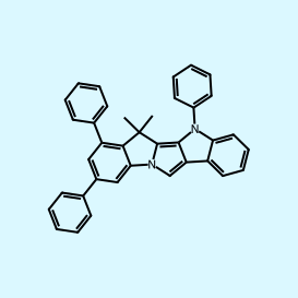 CC1(C)c2c(-c3ccccc3)cc(-c3ccccc3)cc2-n2cc3c4ccccc4n(-c4ccccc4)c3c21